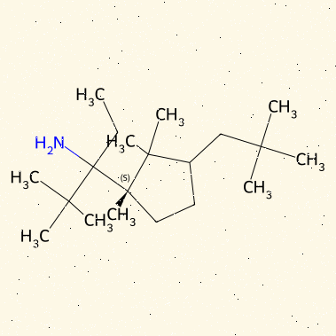 CCC(N)(C(C)(C)C)[C@@]1(C)CCC(CC(C)(C)C)C1(C)C